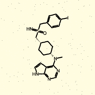 CN(c1ncnc2[nH]ccc12)[C@H]1CC[C@@H](CS(=N)(=O)Cc2ccc(I)cc2)CC1